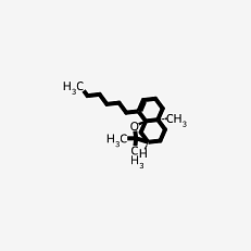 CCCCCCC1=CCC[C@@]2(C)CC[C@@H]3C[C@]12OC3(C)C